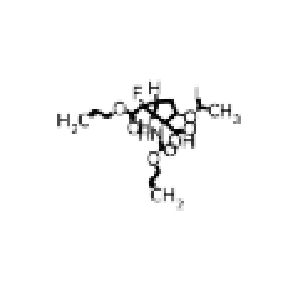 C=CCOC(=O)N[C@@]1(C(=O)O)[C@H](OC(C)I)C[C@@H]2[C@H]1[C@@]2(F)C(=O)OCC=C